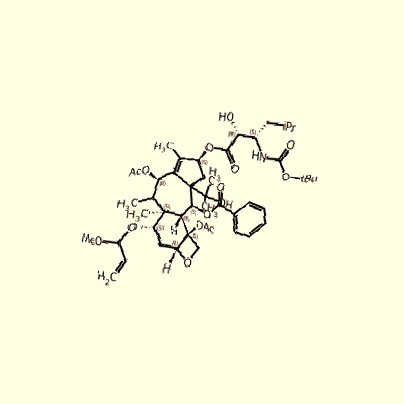 C=CC(OC)O[C@H]1C[C@H]2OC[C@@]2(OC(C)=O)[C@H]2[C@H](OC(=O)c3ccccc3)C3(C(C)(C)O)C[C@H](OC(=O)[C@H](O)[C@H](CC(C)C)NC(=O)OC(C)(C)C)C(C)=C3[C@H](OC(C)=O)C(C)[C@]12C